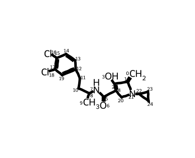 C=C1C(O)=C(C(=O)NC(C)CCc2ccc(Cl)c(Cl)c2)CN1C1CC1